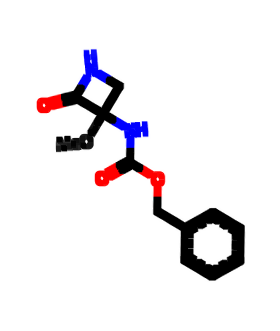 COC1(NC(=O)OCc2ccccc2)CNC1=O